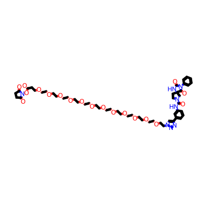 O=C(CCOCCOCCOCCOCCOCCOCCOCCOCCOCCOCCOCCOCCn1cc(-c2cccc(NC(=O)N3CCC4(C3)NC(=O)N(c3ccccc3)C4=O)c2)nn1)ON1C(=O)CCC1=O